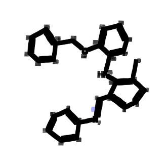 Cc1cccc(/C=N/c2ccccc2)c1Pc1ccccc1OCc1ccccc1